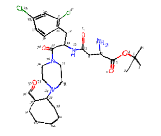 CC(C)(C)OC(=O)C(N)CC(=O)NC(Cc1ccc(Cl)cc1Cl)C(=O)N1CCN(C2CCCCCC2C=O)CC1